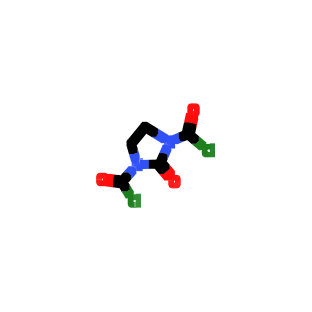 O=C(Cl)N1CCN(C(=O)Cl)C1=O